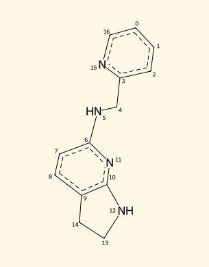 c1ccc(CNc2ccc3c(n2)NCC3)nc1